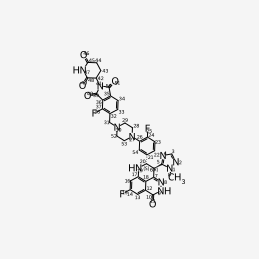 Cn1ncnc1[C@H]1c2n[nH]c(=O)c3cc(F)cc(c23)N[C@@H]1c1ccc(F)c(N2CCN(Cc3ccc4c(c3F)C(=O)N(C3CCC(=O)NC3=O)C4=O)CC2)c1